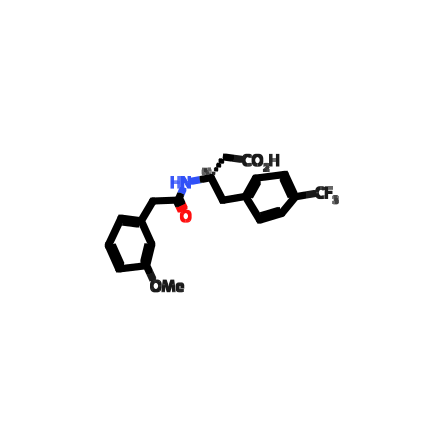 COc1cccc(CC(=O)N[C@H](CC(=O)O)Cc2ccc(C(F)(F)F)cc2)c1